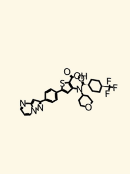 O=C(O)c1sc(-c2ccc(-c3cc4ncccn4n3)cc2)cc1N(C(=O)[C@H]1CC[C@H](C(F)(F)F)CC1)C1CCOCC1